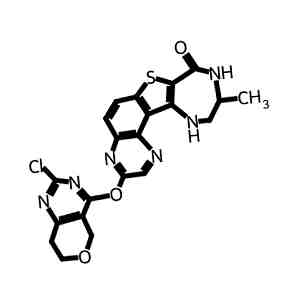 CC1CNc2c(sc3ccc4nc(Oc5nc(Cl)nc6c5COCC6)cnc4c23)C(=O)N1